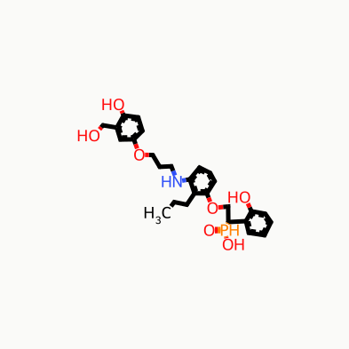 CCCc1c(NCCCOc2ccc(O)c(CO)c2)cccc1OCC(c1ccccc1O)[PH](=O)O